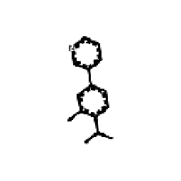 Cc1cc(-c2cccnc2)ccc1C(C)C